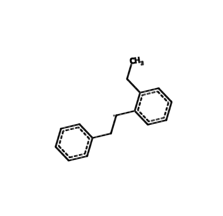 CCc1ccccc1[CH]Cc1ccccc1